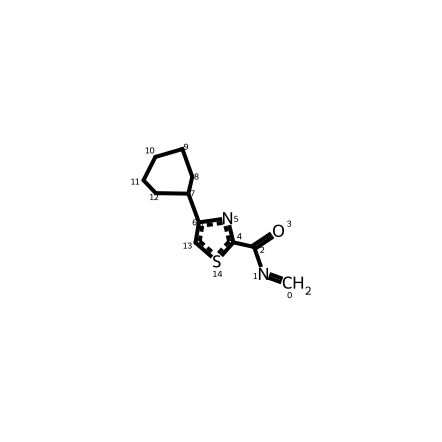 C=NC(=O)c1nc(C2CCCCC2)cs1